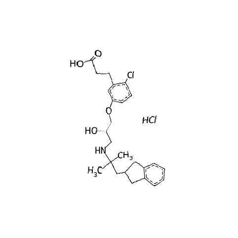 CC(C)(CC1Cc2ccccc2C1)NC[C@H](O)COc1ccc(Cl)c(CCC(=O)O)c1.Cl